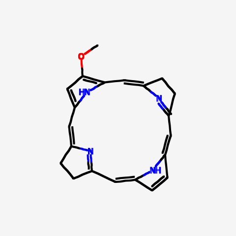 COc1cc2cc3nc(cc4ccc(cc5nc(cc1[nH]2)CC5)[nH]4)CC3